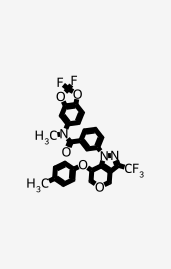 Cc1ccc(OC2COCc3c(C(F)(F)F)nn(-c4cccc(C(=O)N(C)c5ccc6c(c5)OC(F)(F)O6)c4)c32)cc1